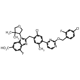 Cc1cc(Cc2nc3c(F)cc(C(=O)O)cc3n2C2COCC2(C)C)c(Cl)cc1-c1ccnc(OCc2ccc(Cl)cc2F)n1